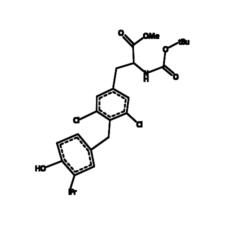 COC(=O)C(Cc1cc(Cl)c(Cc2ccc(O)c(C(C)C)c2)c(Cl)c1)NC(=O)OC(C)(C)C